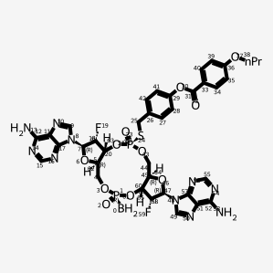 B[P@@]1(=O)OC[C@H]2O[C@@H](n3cnc4c(N)ncnc43)[C@H](F)[C@@H]2O[P@@](=O)(SCc2ccc(OC(=O)c3ccc(OCCC)cc3)cc2)OC[C@H]2O[C@@H](n3cnc4c(N)ncnc43)[C@H](F)[C@@H]2O1